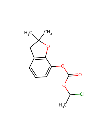 CC(Cl)OC(=O)Oc1cccc2c1OC(C)(C)C2